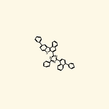 c1ccc(-c2ccc3sc4c(-c5nc(-c6ccccc6)nc(-c6ccc(-c7ccccc7)c7ccccc67)n5)cc5ccccc5c4c3c2)cc1